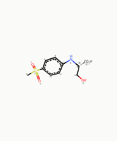 CS(=O)(=O)c1ccc(N[C@@H](CO)C(=O)O)cc1